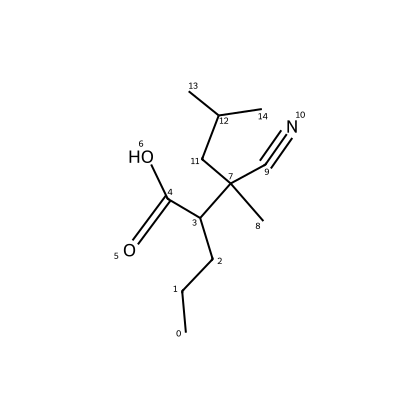 CCCC(C(=O)O)C(C)(C#N)CC(C)C